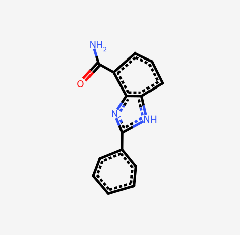 NC(=O)c1[c]ccc2[nH]c(-c3ccccc3)nc12